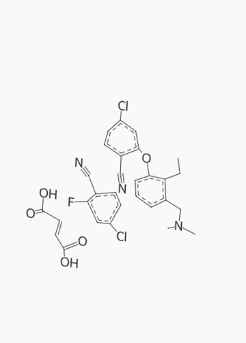 CCc1c(CN(C)C)cccc1Oc1cc(Cl)ccc1C#N.N#Cc1ccc(Cl)cc1F.O=C(O)/C=C/C(=O)O